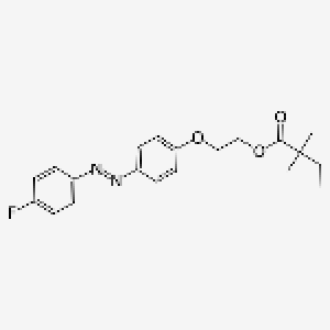 CCC(C)(C)C(=O)OCCOc1ccc(/N=N/c2ccc(F)cc2)cc1